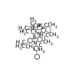 Cc1cc2c3c(c1)N(c1cc4c(cc1C)C(C)(C)CCC4(C)C)c1cc4c(cc1B3c1ccc(C(C)(C)C)cc1N2c1ccc(-c2ccccc2)cc1C)C(C)(C)CC4(C)C